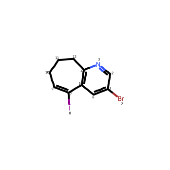 Brc1cnc2c(c1)C(I)=CCCC2